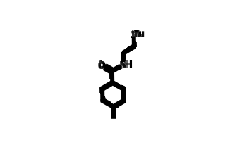 CC1CCC(C(=O)NCCC(C)(C)C)CC1